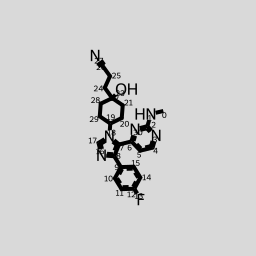 CNc1nccc(-c2c(-c3ccc(F)cc3)ncn2C2CCC(O)(CCC#N)CC2)n1